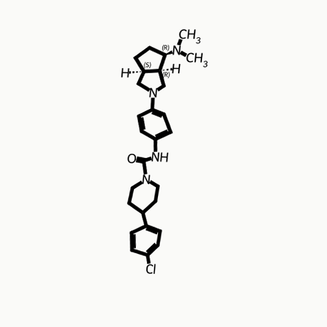 CN(C)[C@@H]1CC[C@@H]2CN(c3ccc(NC(=O)N4CCC(c5ccc(Cl)cc5)CC4)cc3)C[C@@H]21